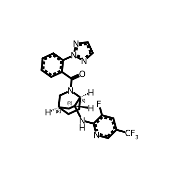 O=C(c1ccccc1-n1nccn1)N1C[C@@H]2CC[C@H]1[C@H](Nc1ncc(C(F)(F)F)cc1F)C2